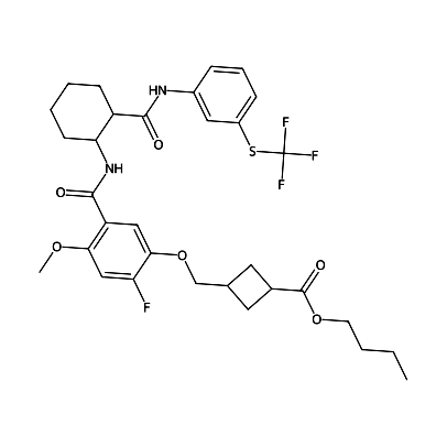 CCCCOC(=O)C1CC(COc2cc(C(=O)NC3CCCCC3C(=O)Nc3cccc(SC(F)(F)F)c3)c(OC)cc2F)C1